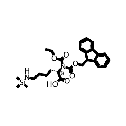 CCOC(=O)N(C(=O)OCC1c2ccccc2-c2ccccc21)[C@@H](CCCCN[Si](C)(C)C)C(=O)O